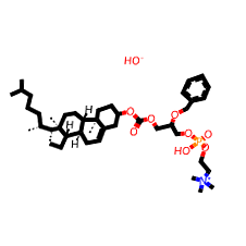 CC(C)CCC[C@@H](C)[C@H]1CC[C@H]2[C@@H]3CC=C4CC(OC(=O)OCC(COP(=O)(O)OCC[N+](C)(C)C)OCc5ccccc5)CC[C@]4(C)[C@H]3CC[C@]12C.[OH-]